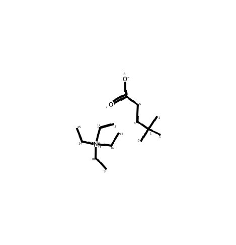 CC(C)(C)CCC(=O)[O-].CC[N+](CC)(CC)CC